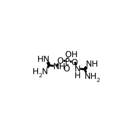 N=C(N)NOP(=O)(O)ONC(=N)N